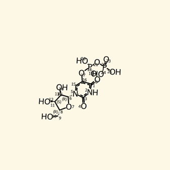 O=c1[nH]c(=O)n([C@@H]2O[C@H](CO)[C@@H](O)[C@H]2O)cc1OP(=O)(O)OP(=O)(O)O